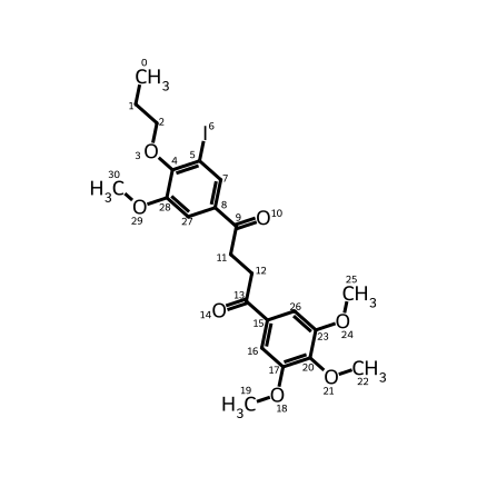 CCCOc1c(I)cc(C(=O)CCC(=O)c2cc(OC)c(OC)c(OC)c2)cc1OC